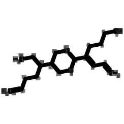 C=C/C=C(\CCCO)C1OCC(C(CC)CCC=C)CO1